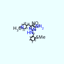 CSc1ccccc1CNc1nc(N)c([N+](=O)[O-])c(CC2CCN(C)CC2)n1